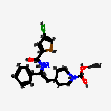 CC(C)(C)OC(=O)N1CCC(CC(NC(=O)c2cc(Cl)cs2)c2ccccc2)CC1